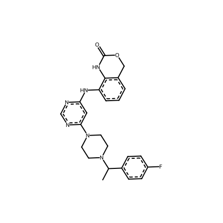 CC(c1ccc(F)cc1)N1CCN(c2cc(Nc3cccc4c3NC(=O)OC4)ncn2)CC1